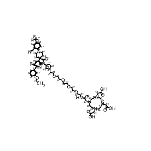 CCOc1cccc(-c2ncc(C3(C(=O)N[C@H]4CCN(CCOCCOCCOCCOCCNC(=O)CN5CCN(CC(=O)O)CCN(CC(=O)O)CCN(CC(=O)O)CC5)C4)CCN(c4ccc(C(F)(F)F)cc4C#N)CC3)cc2F)c1